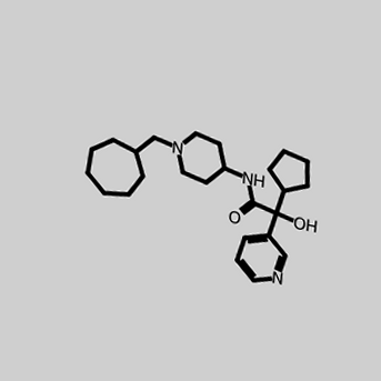 O=C(NC1CCN(CC2CCCCCC2)CC1)C(O)(c1cccnc1)C1CCCC1